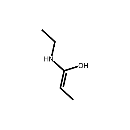 CC=C(O)NCC